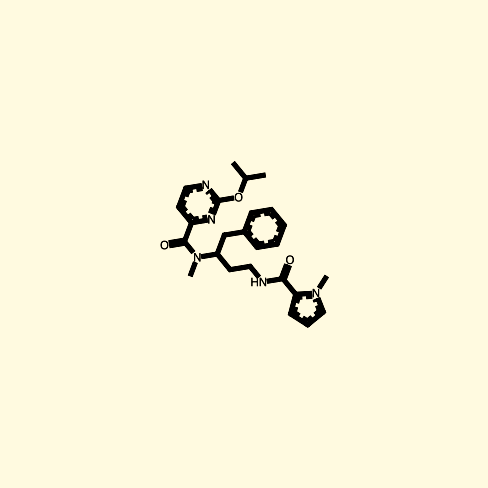 CC(C)Oc1nccc(C(=O)N(C)C(CCNC(=O)c2cccn2C)Cc2ccccc2)n1